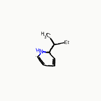 CCC(C)C1C=CC=[C]N1